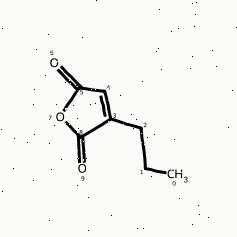 CCCC1=CC(=O)OC1=O